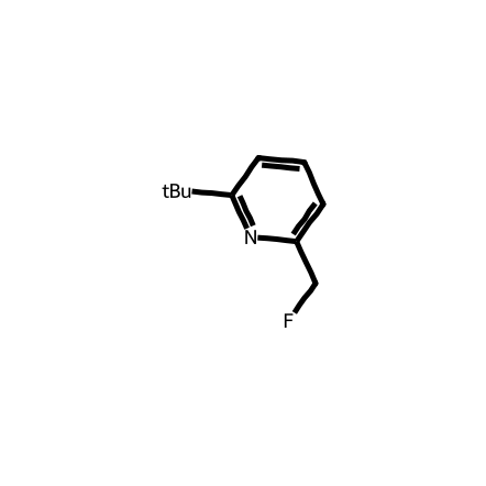 CC(C)(C)c1cccc(CF)n1